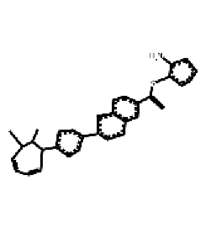 C=C(Sc1ccccc1N)c1ccc2cc(-c3ccc(C4C=CC=CC(C)C4C)cc3)ccc2c1